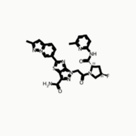 Cc1cccc(NC(=O)[C@@H]2C[C@@H](F)CN2C(=O)Cn2nc(C(N)=O)c3sc(-c4ccc5cc(C)nn5c4)nc32)n1